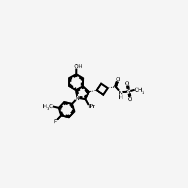 Cc1cc(-n2c(C(C)C)c([C@H]3C[C@@H](C(=O)NS(C)(=O)=O)C3)c3cc(O)ccc32)ccc1F